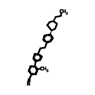 CCC[C@H]1CC[C@H](c2ccc(CCc3ccc(-c4ccc(C#N)cc4C)cc3)cc2)CC1